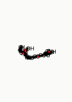 O=C1CCC(N2C(=O)c3ccc(OCCOCCOCCOCCOCCN4CCN(Cc5ccc6c(c5)nc(NC(=O)c5cccc(C(F)(F)F)c5)n6[C@H]5CC[C@@H](CO)CC5)CC4)cc3C2=O)C(=O)N1